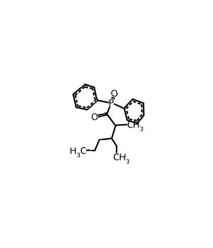 CCCC(CC)C(C)C(=O)P(=O)(c1ccccc1)c1ccccc1